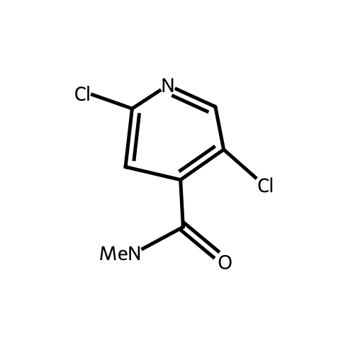 CNC(=O)c1cc(Cl)ncc1Cl